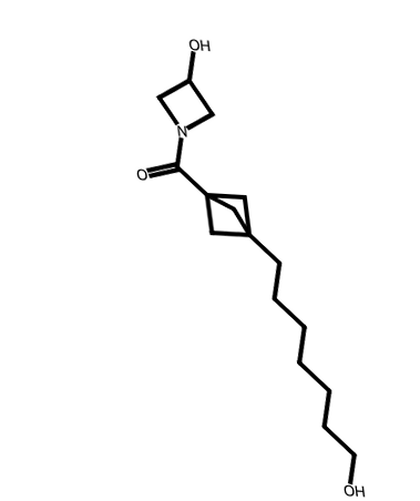 O=C(N1CC(O)C1)C12CC(CCCCCCCO)(C1)C2